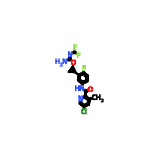 Cc1cc(Cl)cnc1C(=O)Nc1ccc(F)c([C@H]2C[C@H]2O/C(N)=N\C(F)F)c1